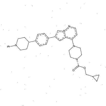 CC(C)N1CCC(c2ccc(-c3cc4c(N5CCN(C(=O)OCC6CC6)CC5)ccnn4c3)cc2)CC1